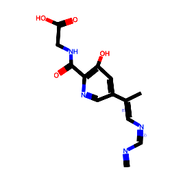 C=N/C=N\C=C(/C)c1cnc(C(=O)NCC(=O)O)c(O)c1